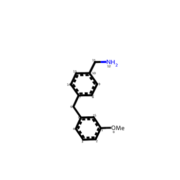 COc1cccc(Cc2[c]cc(CN)cc2)c1